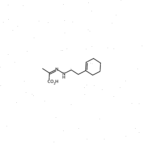 C/C(=N/NCCC1=CCCCC1)C(=O)O